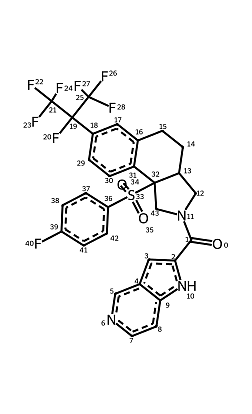 O=C(c1cc2cnccc2[nH]1)N1CC2CCc3cc(C(F)(C(F)(F)F)C(F)(F)F)ccc3C2(S(=O)(=O)c2ccc(F)cc2)C1